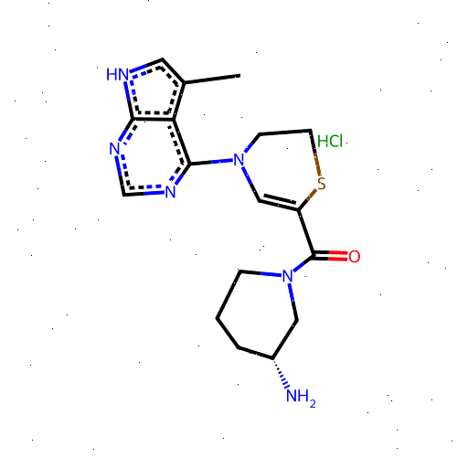 Cc1c[nH]c2ncnc(N3C=C(C(=O)N4CCC[C@@H](N)C4)SCC3)c12.Cl